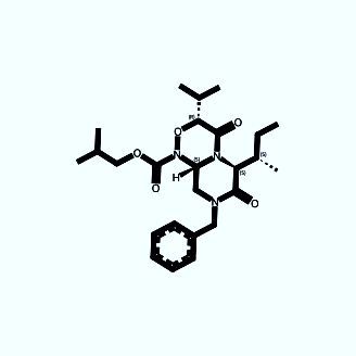 CC[C@H](C)[C@H]1C(=O)N(Cc2ccccc2)C[C@@H]2N(C(=O)OCC(C)C)O[C@H](C(C)C)C(=O)N12